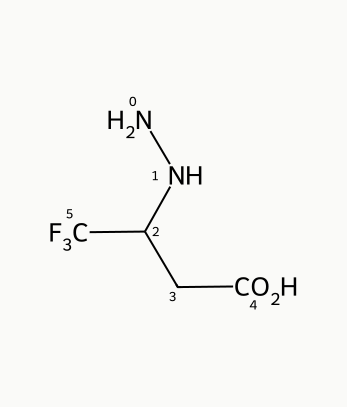 NNC(CC(=O)O)C(F)(F)F